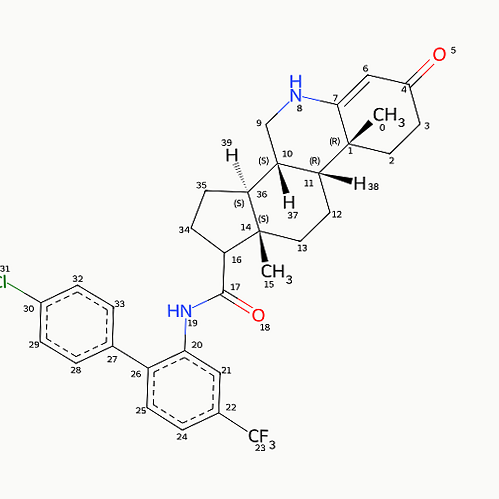 C[C@]12CCC(=O)C=C1NC[C@@H]1[C@H]2CC[C@]2(C)C(C(=O)Nc3cc(C(F)(F)F)ccc3-c3ccc(Cl)cc3)CC[C@@H]12